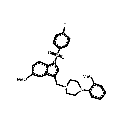 COc1ccc2c(c1)c(CN1CCN(c3ccccc3OC)CC1)cn2S(=O)(=O)c1ccc(F)cc1